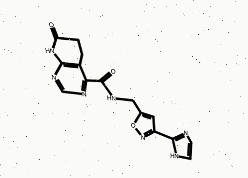 O=C1CCc2c(ncnc2C(=O)NCc2cc(-c3ncc[nH]3)no2)N1